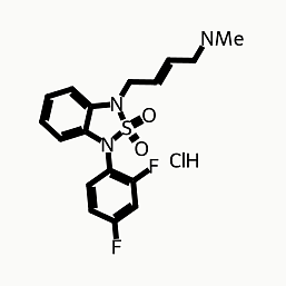 CNCC=CCN1c2ccccc2N(c2ccc(F)cc2F)S1(=O)=O.Cl